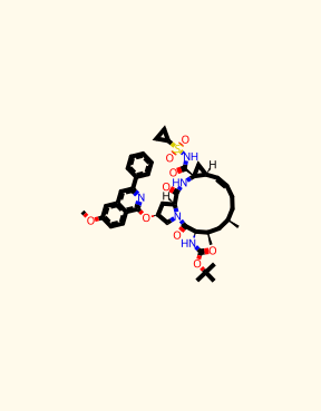 COc1ccc2c(O[C@@H]3C[C@H]4C(=O)N[C@]5(C(=O)NS(=O)(=O)C6CC6)C[C@H]5/C=C\CC[C@@H](C)C[C@@H](C)[C@H](NC(=O)OC(C)(C)C)C(=O)N4C3)nc(-c3ccccc3)cc2c1